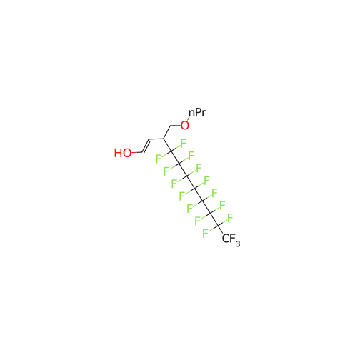 CCCOCC(C=CO)C(F)(F)C(F)(F)C(F)(F)C(F)(F)C(F)(F)C(F)(F)C(F)(F)C(F)(F)F